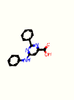 O=C(O)c1cc(Nc2ccccc2)nc(-c2ccccc2)n1